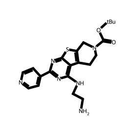 CC(C)(C)OC(=O)N1CCc2c(sc3nc(-c4ccncc4)nc(NCCN)c23)C1